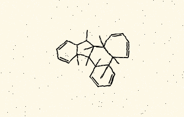 CC1C2C=CC=CC2(C)C2(C)C3(C)C=CC=CC3(C)C3(C)C=CC=CC3(C)C12C